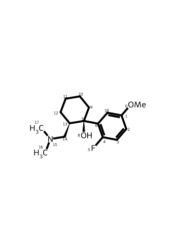 COc1ccc(F)c([C@@]2(O)CCCC[C@@H]2CN(C)C)c1